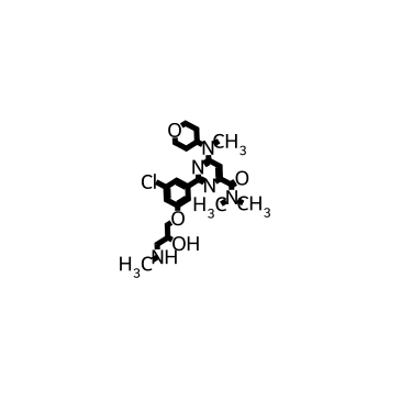 CNCC(O)COc1cc(Cl)cc(-c2nc(C(=O)N(C)C)cc(N(C)C3CCOCC3)n2)c1